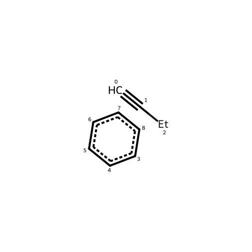 C#CCC.c1ccccc1